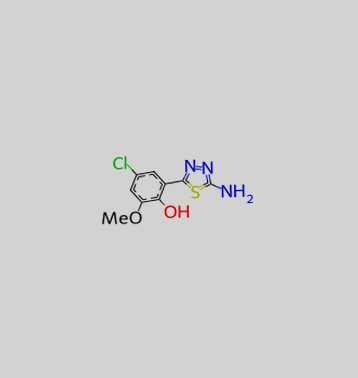 COc1cc(Cl)cc(-c2nnc(N)s2)c1O